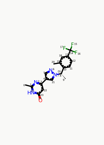 Cc1nc(-c2cnn([C@@H](C)c3ccc(C(F)(F)F)cc3C)c2)cc(=O)[nH]1